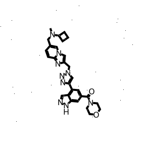 CN(Cc1ccc2nc(Cn3cc(-c4cc(C(=O)N5CCOCC5)cc5[nH]ncc45)nn3)cn2c1)C1CCC1